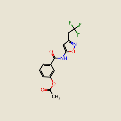 CC(=O)Oc1cccc(C(=O)Nc2cc(CC(F)(F)F)no2)c1